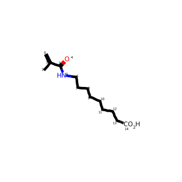 C=C(C)C(=O)NCCCCCCCCC(=O)O